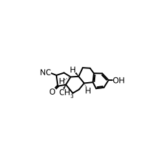 C[C@]12CC[C@@H]3c4ccc(O)cc4CC[C@H]3[C@@H]1CC(C#N)C2=O